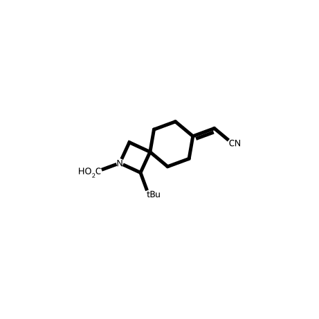 CC(C)(C)C1N(C(=O)O)CC12CCC(=CC#N)CC2